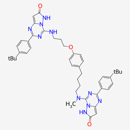 CN(CCCCc1ccc(OCCCNc2nc(-c3ccc(C(C)(C)C)cc3)nc3cc(=O)[nH]n23)cc1)c1nc(-c2ccc(C(C)(C)C)cc2)nc2cc(=O)[nH]n12